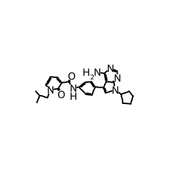 CC(C)Cn1cccc(C(=O)Nc2ccc(-c3cn(C4CCCC4)c4ncnc(N)c34)cc2)c1=O